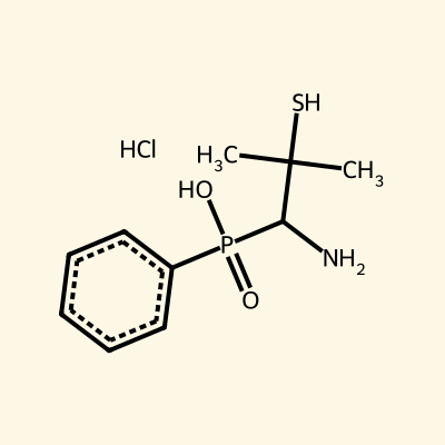 CC(C)(S)C(N)P(=O)(O)c1ccccc1.Cl